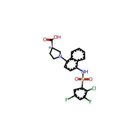 O=C(O)[C@@H]1CCN(c2ccc(NS(=O)(=O)c3cc(F)cc(F)c3Cl)c3ccccc23)C1